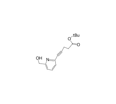 CC(C)(C)OC(=O)CCC#Cc1cccc(CO)n1